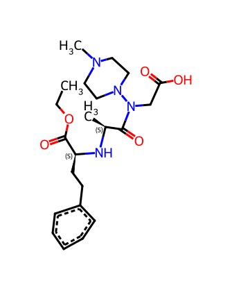 CCOC(=O)[C@H](CCc1ccccc1)N[C@@H](C)C(=O)N(CC(=O)O)N1CCN(C)CC1